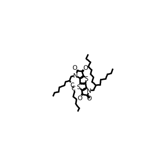 CCCCCCCCC(CCCCCC)Cn1c(=O)c(=O)c2sc3c(sc4c(=O)c(=O)n(CC(CCCCCC)CCCCCCCC)c43)c21